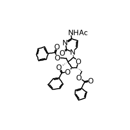 CC(=O)Nc1ccn([C@@H]2O[C@H](COC(=O)c3ccccc3)[C@@H](OC(=O)c3ccccc3)[C@@]2(C)COC(=O)c2ccccc2)c(=O)n1